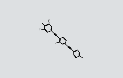 Cc1ccc(C#Cc2ccc(C#Cc3cc(F)c(C)c(F)c3)c(C)c2)cc1